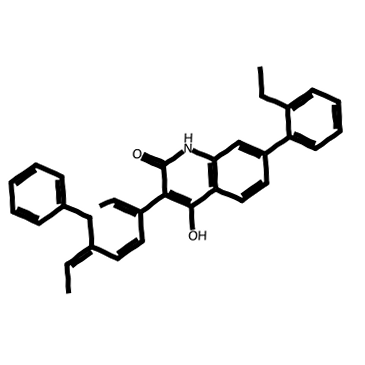 C\C=C(/C=C\C(=C/C)c1c(O)c2ccc(-c3ccccc3CC)cc2[nH]c1=O)Cc1ccccc1